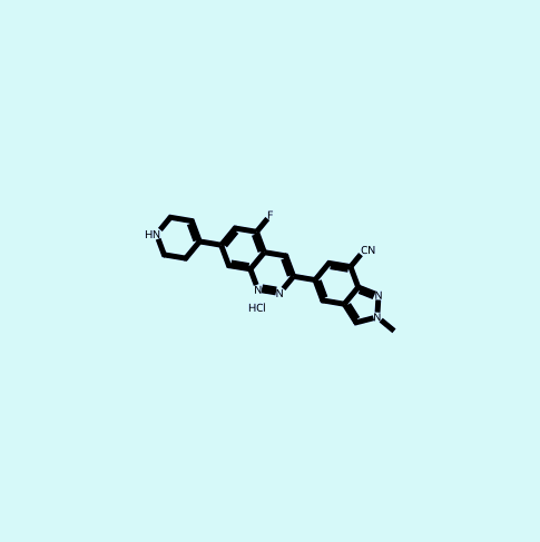 Cl.Cn1cc2cc(-c3cc4c(F)cc(C5=CCNCC5)cc4nn3)cc(C#N)c2n1